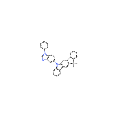 CC1(C)c2ccccc2-c2cc3c(cc21)c1ccccc1n3-c1ccc2c(c1)ncn2-c1ccccc1